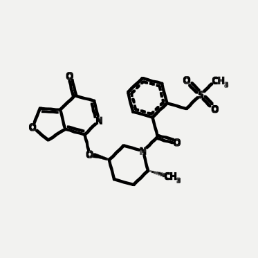 C[C@@H]1CC[C@@H](OC2=C3COC=C3C(=O)C=N2)CN1C(=O)c1ccccc1CS(C)(=O)=O